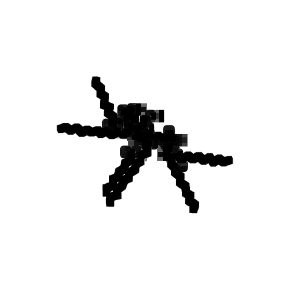 CCCCCCCCCCC[C@H](CC(=O)NC1C(NC(=O)C[C@@H](CCCCCCCCCCC)OC(=O)CCCCCCCCC)[C@H](OCP(=O)(O)O)C(CO)O[C@H]1OC[C@H](NC(=O)C[C@@H](CCCCCCCCCCC)OC(=O)CCCCCCCCC)C(=O)O)OC(=O)CCCCCCCCC